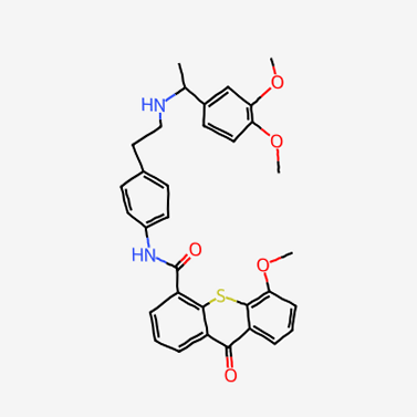 COc1ccc(C(C)NCCc2ccc(NC(=O)c3cccc4c(=O)c5cccc(OC)c5sc34)cc2)cc1OC